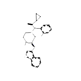 Cl.Cl.O=C(C1CC1)C(c1ccccc1F)N1CCC(S)/C(=C\c2c[nH]c3ccccc23)C1